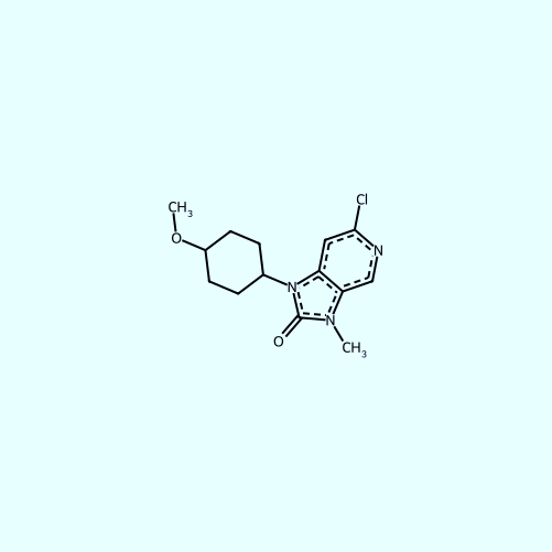 COC1CCC(n2c(=O)n(C)c3cnc(Cl)cc32)CC1